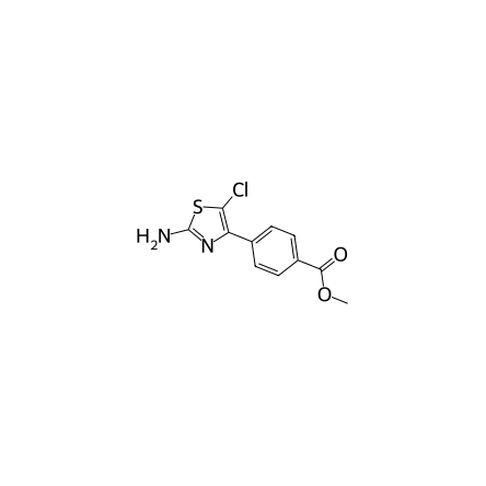 COC(=O)c1ccc(-c2nc(N)sc2Cl)cc1